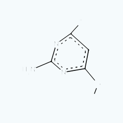 Nc1nc(F)cc(OC(F)(F)F)n1